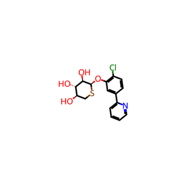 O[C@@H]1[C@@H](O)[C@@H](Oc2cc(-c3ccccn3)ccc2Cl)SC[C@H]1O